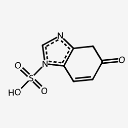 O=C1C=Cc2c(ncn2S(=O)(=O)O)C1